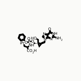 CC(C)CC(NP(=O)(OC[C@@]1(CO)C/C1=C/n1cnc2c(=O)[nH]c(N)nc21)Oc1ccccc1)C(=O)O